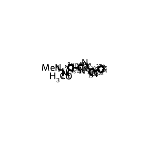 CNCCN(C)C(=O)c1cccc(-c2cnn3c(-c4ccnc(-c5ccccc5)c4)cnc3c2)c1